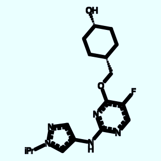 CC(C)n1cc(Nc2ncc(F)c(OC[C@H]3CC[C@@H](O)CC3)n2)cn1